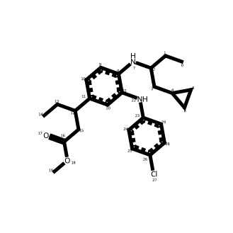 CCC(CC1CC1)Nc1ccc(C(CC)CC(=O)OC)cc1Nc1ccc(Cl)cc1